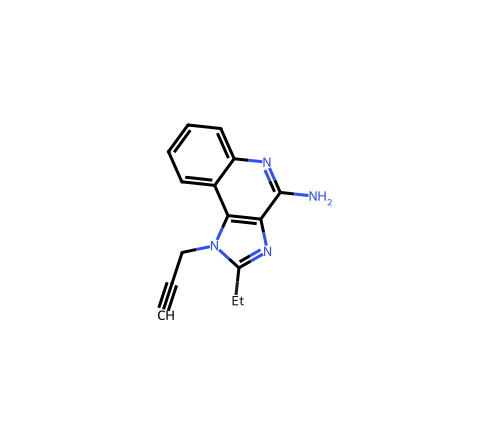 C#CCn1c(CC)nc2c(N)nc3ccccc3c21